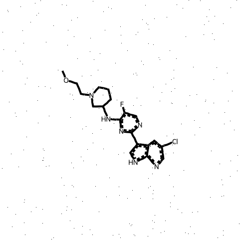 COCCN1CCCC(Nc2nc(-c3c[nH]c4ncc(Cl)cc34)ncc2F)C1